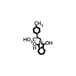 Cc1ccc([C@H](Cn2c(O)c3ccccc3c2O)C(=O)O)cc1